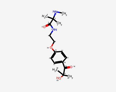 CNC(C)(C)C(=O)NCCOc1ccc(C(=O)C(C)(C)O)cc1